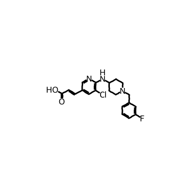 O=C(O)C=Cc1cnc(NC2CCN(Cc3cccc(F)c3)CC2)c(Cl)c1